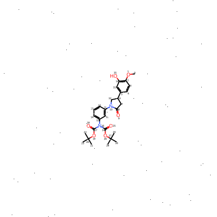 COc1ccc(C2CC(=O)N(c3cccc(N(C(=O)OC(C)(C)C)C(=O)OC(C)(C)C)c3)C2)cc1O